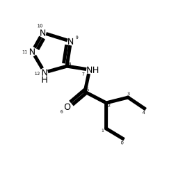 CCC(CC)C(=O)Nc1nnn[nH]1